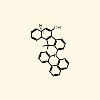 CC1(C)C2=C(C(O)=C[C@H]3C=CC=CC23)c2cccc(N(c3ccccc3)c3ccccc3-c3ccccc3)c21